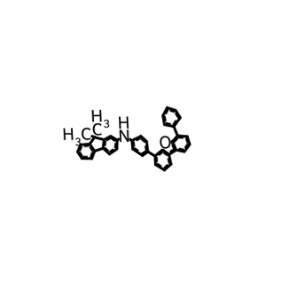 CC1(C)c2ccccc2-c2ccc(Nc3ccc(-c4cccc5c4oc4c(-c6ccccc6)cccc45)cc3)cc21